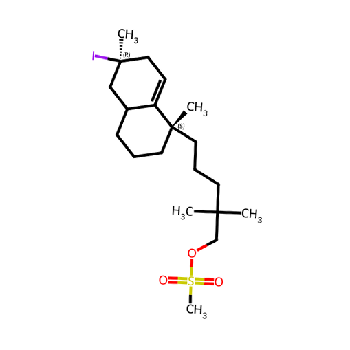 CC(C)(CCC[C@]1(C)CCCC2C[C@@](C)(I)CC=C21)COS(C)(=O)=O